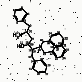 N[C@@H](Cc1ccccc1)C[C@H](O)[C@H](Cc1ccccc1)N(Cc1ccccc1)Cc1ccccc1